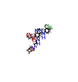 O=C(/C=C/CN1CC2CCC(C1)O2)Nc1cc2c(Nc3ccc(F)c(Cl)c3)ncnc2cc1O[C@H]1CCOC1